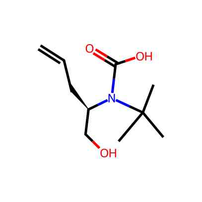 C=CC[C@H](CO)N(C(=O)O)C(C)(C)C